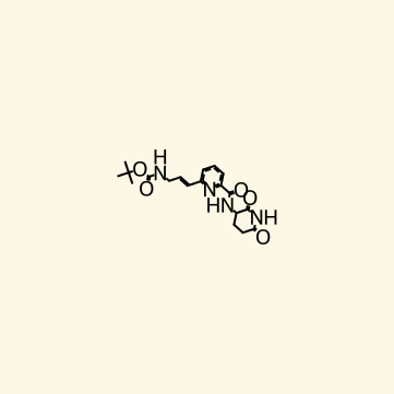 CC(C)(C)OC(=O)NC/C=C/c1cccc(C(=O)NC2CCC(=O)NC2=O)n1